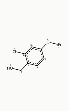 CC(C)Oc1ccc(CO)c(Cl)c1